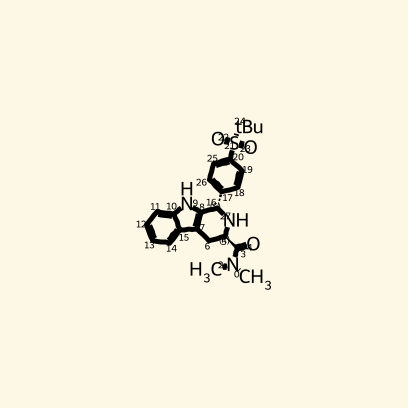 CN(C)C(=O)[C@H]1Cc2c([nH]c3ccccc23)[C@H](c2ccc(S(=O)(=O)C(C)(C)C)cc2)N1